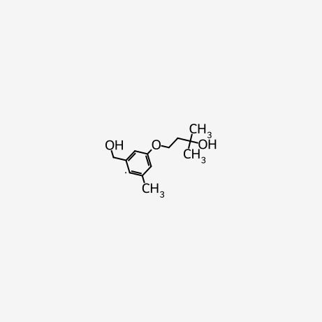 Cc1[c]c(CO)cc(OCCC(C)(C)O)c1